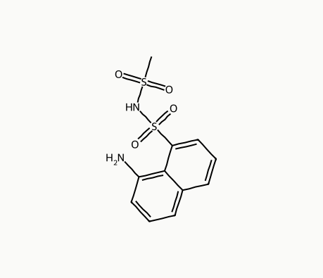 CS(=O)(=O)NS(=O)(=O)c1cccc2cccc(N)c12